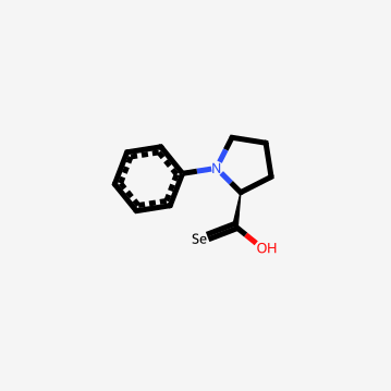 OC(=[Se])[C@@H]1CCCN1c1ccccc1